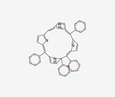 C1=CC2=C(c3ccccc3)C3=CCC(c4ccccc4)(N3)C(c3ccccc3)=C3C=CC(=N3)C(c3ccccc3)=c3ccc([nH]3)=CC1=N2